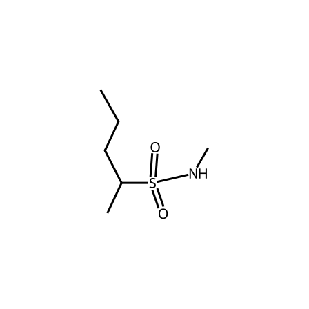 CCCC(C)S(=O)(=O)NC